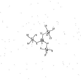 C[Si](C)(C)[CH2][Bi]([CH2][Si](C)(C)C)[CH2][Si](C)(C)C